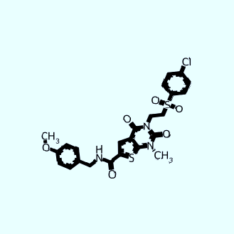 COc1ccc(CNC(=O)c2cc3c(=O)n(CCS(=O)(=O)c4ccc(Cl)cc4)c(=O)n(C)c3s2)cc1